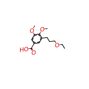 CCOCCCc1cc(C(=O)O)cc(OC)c1OC